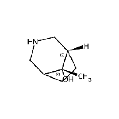 C[C@@]1(O)C2CC[C@H]1CNC2